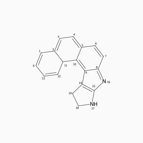 C1=CC2=CC=c3ccc4c(c3C2C=C1)C1=C(N=4)NCC1